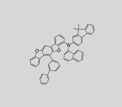 CC1(C)c2ccccc2-c2ccc(N(c3cccc4ccccc34)c3cccc4c3oc3c(-c5cccc(-c6ccccc6)c5)c5c(cc34)oc3ccccc35)cc21